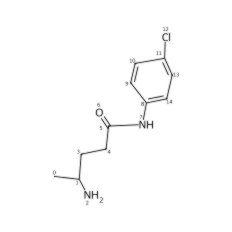 CC(N)CCC(=O)Nc1ccc(Cl)cc1